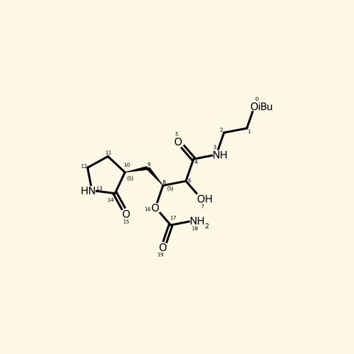 CC(C)COCCNC(=O)C(O)[C@H](C[C@@H]1CCNC1=O)OC(N)=O